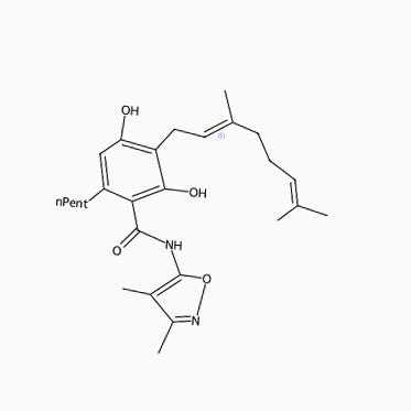 CCCCCc1cc(O)c(C/C=C(\C)CCC=C(C)C)c(O)c1C(=O)Nc1onc(C)c1C